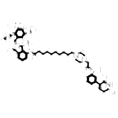 CCOc1cc([C@@H](CS(C)(=O)=O)N2C(=O)c3cccc(NC(=O)CCCCCCCCCN4CCN(CC(=O)Nc5cccc(C6CCC(=O)NC6=O)c5)CC4)c3C2=O)ccc1OC